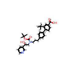 CC(C)(C)OC(=O)N(CCCc1ccc(-c2ccc(C(=O)O)cc2C(C)(C)C)cc1)C[C@H](O)c1cccnc1